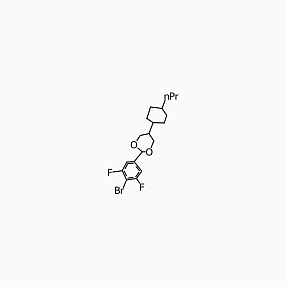 CCCC1CCC(C2COC(c3cc(F)c(Br)c(F)c3)OC2)CC1